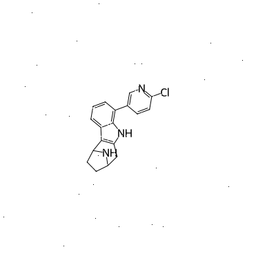 Clc1ccc(-c2cccc3c4c([nH]c23)CC2CCC4N2)cn1